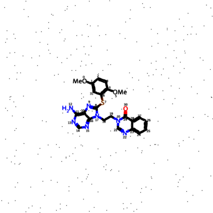 COc1ccc(OC)c(Sc2nc3c(N)ncnc3n2CCn2cnc3ccccc3c2=O)c1